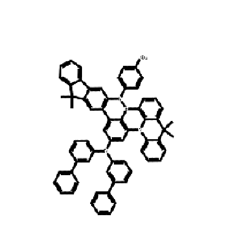 CC(C)(C)c1ccc(N2B3c4cccc5c4N(c4ccccc4C5(C)C)c4cc(N(c5cccc(-c6ccccc6)c5)c5cccc(-c6ccccc6)c5)cc(c43)-c3cc4c(cc32)-c2ccccc2C4(C)C)cc1